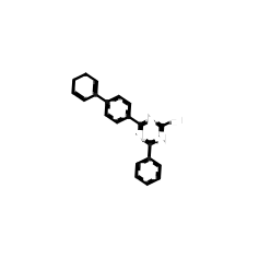 CCc1nc(-c2ccccc2)nc(-c2ccc(C3=CCCC=C3)cc2)n1